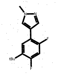 Cn1cc(-c2cc(C(C)(C)C)c(F)cc2F)cn1